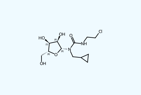 O=C(NCCCl)N(CC1CC1)[C@@H]1O[C@H](CO)[C@@H](O)[C@H]1O